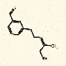 CCC(C)CC(C)=CCCc1cccc(C=S)c1